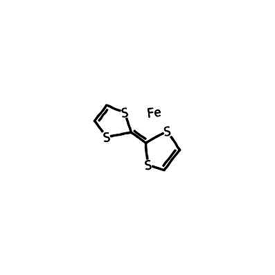 C1=CSC(=C2SC=CS2)S1.[Fe]